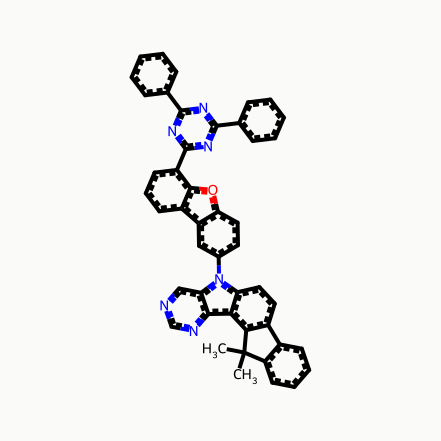 CC1(C)c2ccccc2-c2ccc3c(c21)c1ncncc1n3-c1ccc2oc3c(-c4nc(-c5ccccc5)nc(-c5ccccc5)n4)cccc3c2c1